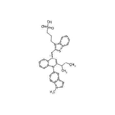 CCC(C)C1=C/C(=C\c2sc3ccccc3[n+]2CCCS(=O)(=O)O)c2ccccc2N1c1ccc2c(ccn2C)c1